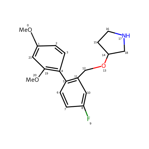 COc1ccc(-c2ccc(F)cc2COC2CCNC2)c(OC)c1